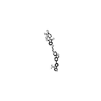 O=C1CCC(N2C(=O)c3ccc(OCCCN4CCC5(CC4)OCc4cc(-c6ccc7c8cnccc8n(C(F)F)c7c6)ccc45)cc3C2=O)C(=O)N1